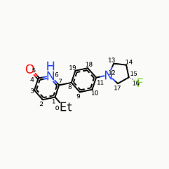 CCc1ccc(=O)[nH]c1-c1ccc(N2CC[C@H](F)C2)cc1